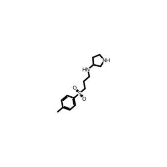 Cc1ccc(S(=O)(=O)CCCNC2CCNC2)cc1